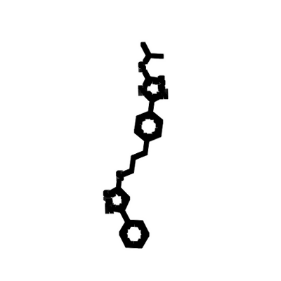 CC(C)Sc1nc(-c2ccc(CCCSc3cc(-c4ccccc4)ns3)cc2)ns1